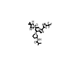 CC(C)C(=O)NC1CCCN(c2cc(S(=O)(=O)NC3(C#N)CC3)cn3c(-c4nnc(C(F)(F)F)s4)ncc23)C1